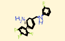 N[C@@H]1CC(CNc2cccc(F)c2)=CC[C@H]1c1cc(F)c(F)cc1F